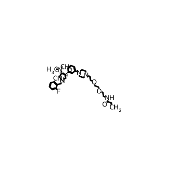 C=CC(=O)NCCOCCOCCN1CCN(c2cccc([C@H]3CN(Cc4c(C)cccc4F)C[C@@H]3N(C)C)c2)CC1